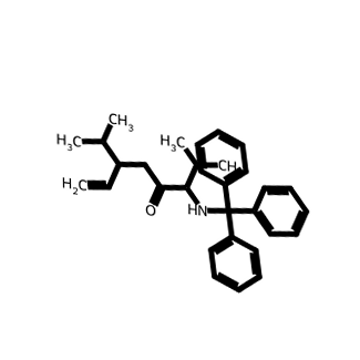 C=CC(CC(=O)C(NC(c1ccccc1)(c1ccccc1)c1ccccc1)C(C)C)C(C)C